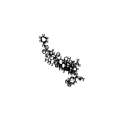 CC1C[C@H](OC(=O)[C@H]2C[C@@H](C(=O)OCc3ccccc3)C2(C)C)C(C)(C)[C@@H]2CC[C@]3(C)[C@H](CC[C@@H]4[C@H]5[C@H](C6(C)CC6)CC[C@]5(NC[C@H](C(C)C)N5CCS(=O)(=O)CC5)CC[C@]43C)[C@@H]12